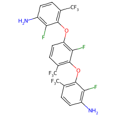 Nc1ccc(C(F)(F)F)c(Oc2ccc(C(F)(F)F)c(Oc3c(C(F)(F)F)ccc(N)c3F)c2F)c1F